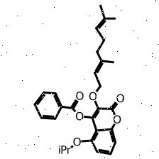 CC(C)=CCC/C(C)=C/COc1c(OC(=O)c2ccccc2)c2c(OC(C)C)cccc2oc1=O